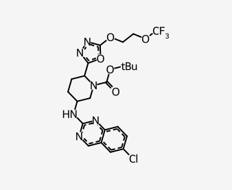 CC(C)(C)OC(=O)N1CC(Nc2ncc3cc(Cl)ccc3n2)CCC1c1nnc(OCCOC(F)(F)F)o1